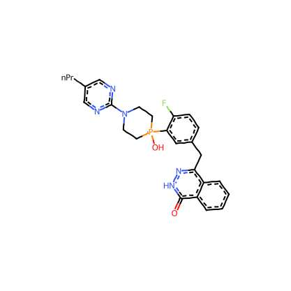 CCCc1cnc(N2CC[P](O)(c3cc(Cc4n[nH]c(=O)c5ccccc45)ccc3F)CC2)nc1